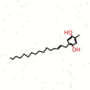 CCCCCCCCCCCCCC=CCc1cc(O)c(C)cc1O